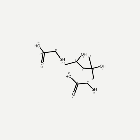 CC(O)CC(C)(C)O.O=C(O)CS.O=C(O)CS